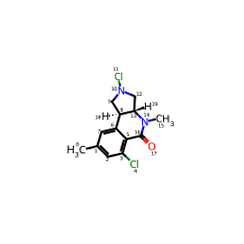 Cc1cc(Cl)c2c(c1)[C@H]1CN(Cl)C[C@@H]1N(C)C2=O